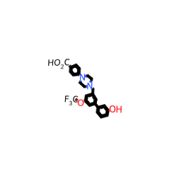 O=C(O)c1ccc(N2CCN(Cc3cc(OC(F)(F)F)cc(-c4cccc(O)c4)c3)CC2)cc1